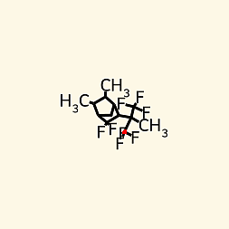 CC1C(C)C2CC1C(C(C)(C(F)(F)F)C(F)(F)F)C2(F)F